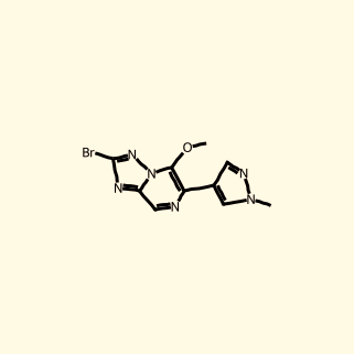 COc1c(-c2cnn(C)c2)ncc2nc(Br)nn12